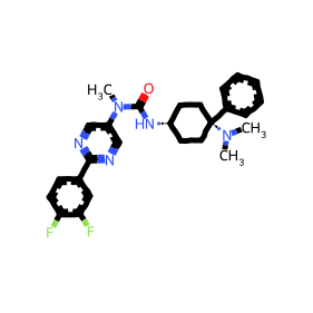 CN(C(=O)N[C@H]1CC[C@@](c2ccccc2)(N(C)C)CC1)c1cnc(-c2ccc(F)c(F)c2)nc1